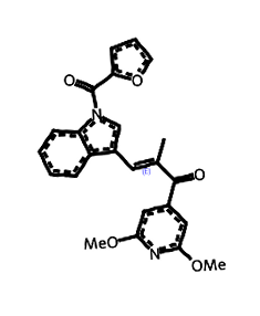 COc1cc(C(=O)/C(C)=C/c2cn(C(=O)c3ccco3)c3ccccc23)cc(OC)n1